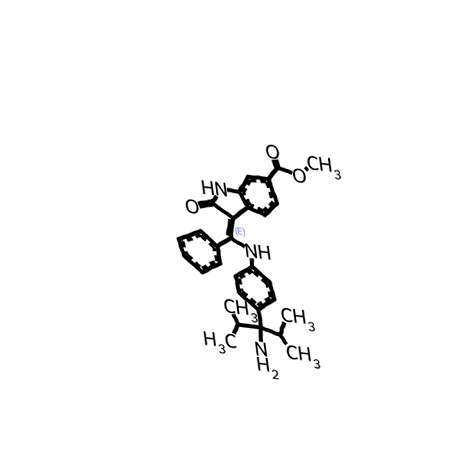 COC(=O)c1ccc2c(c1)NC(=O)/C2=C(/Nc1ccc(C(N)(C(C)C)C(C)C)cc1)c1ccccc1